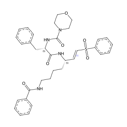 O=C(NCCCC[C@@H](/C=C/S(=O)(=O)c1ccccc1)NC(=O)[C@H](Cc1ccccc1)NC(=O)N1CCOCC1)c1ccccc1